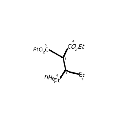 CCCCCCCC(CC)C(C(=O)OCC)C(=O)OCC